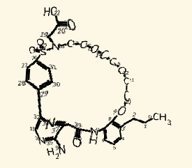 CCCc1cccc2c1OCCOCCOCCN(CC(=O)O)S(=O)(=O)c1ccc(cc1)-c1cnc(N)c(n1)C(=O)N2